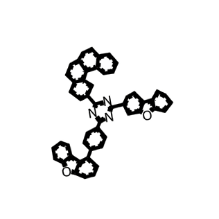 c1ccc2c(c1)ccc1ccc3ccc(-c4nc(-c5ccc(-c6cccc7oc8ccccc8c67)cc5)nc(-c5ccc6c(c5)oc5ccccc56)n4)cc3c12